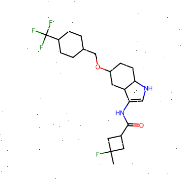 CC1(F)CC(C(=O)NC2=CNC3CCC(OCC4CCC(C(F)(F)F)CC4)CC23)C1